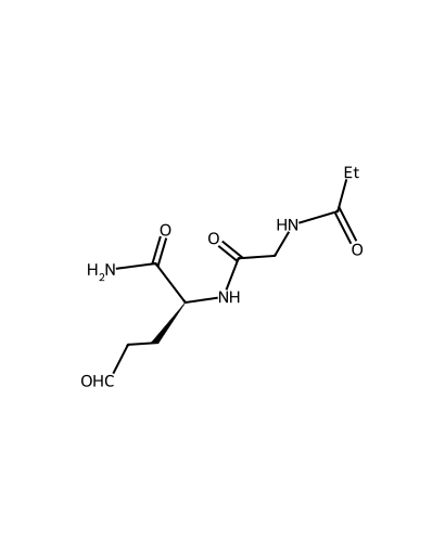 CCC(=O)NCC(=O)N[C@@H](CCC=O)C(N)=O